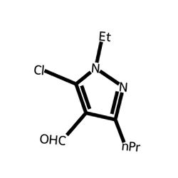 CCCc1nn(CC)c(Cl)c1C=O